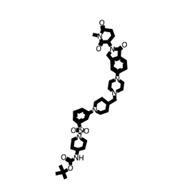 CN1C(=O)CCC(N2Cc3cc(N4CCN(CC5CCN(c6cccc(S(=O)(=O)N7CCC(NC(=O)OC(C)(C)C)CC7)c6)CC5)CC4)ccc3C2=O)C1=O